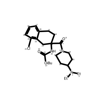 CCN(CC)C1CCN(C(=O)C2(NC(=O)OCC(C)C)CCc3cccc(Cl)c3C2)CC1